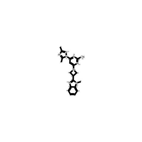 Cc1nc(C)n(-c2cc(N3CC(c4nc5ccccc5n4C)C3)nc(C#N)n2)n1